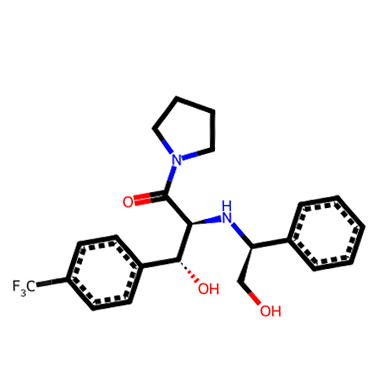 O=C([C@@H](N[C@H](CO)c1ccccc1)[C@H](O)c1ccc(C(F)(F)F)cc1)N1CCCC1